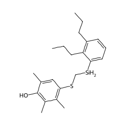 CCCc1cccc([SiH2]CSc2cc(C)c(O)c(C)c2C)c1CCC